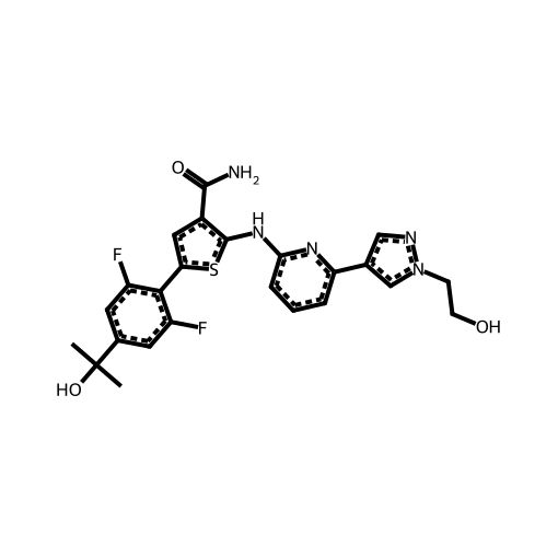 CC(C)(O)c1cc(F)c(-c2cc(C(N)=O)c(Nc3cccc(-c4cnn(CCO)c4)n3)s2)c(F)c1